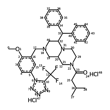 COc1ccc(-n2nnnc2C(F)(F)F)cc1CN1CC2CN(C(=O)CC(C)C)CCN2C(C(c2ccccc2)c2ccccc2)C1.Cl.Cl